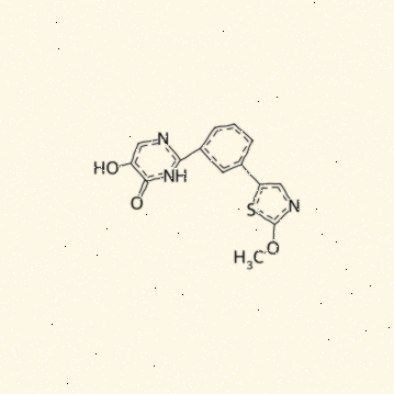 COc1ncc(-c2cccc(-c3ncc(O)c(=O)[nH]3)c2)s1